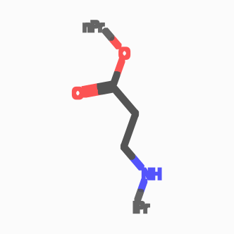 [CH2]CCOC(=O)CCNC(C)C